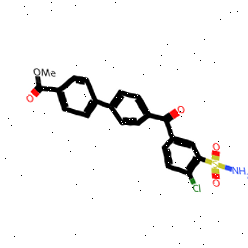 COC(=O)c1ccc(-c2ccc(C(=O)c3ccc(Cl)c(S(N)(=O)=O)c3)cc2)cc1